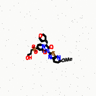 COc1ccc2nc(NC(=O)[C@@H](CC3CCOCC3)n3ccc(S(=O)(=O)CCCO)cc3=O)sc2n1